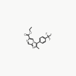 CCOC(=O)c1cn2c(-c3ccc(C(F)(F)F)cc3)c(C)nc2cn1